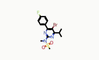 CC(C)c1nc(N(C)S(C)(=O)=O)nc(-c2ccc(F)cc2)c1Br